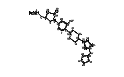 CC(=O)NCC1CN(c2ccc(N3CCC(n4nnc(Cc5cccs5)n4)CC3)c(F)c2)C(=O)O1